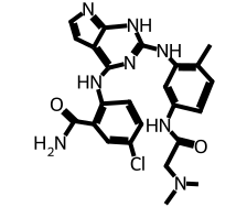 Cc1ccc(NC(=O)CN(C)C)cc1Nc1nc(Nc2ccc(Cl)cc2C(N)=O)c2ccnc-2[nH]1